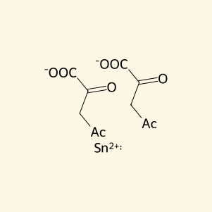 CC(=O)CC(=O)C(=O)[O-].CC(=O)CC(=O)C(=O)[O-].[Sn+2]